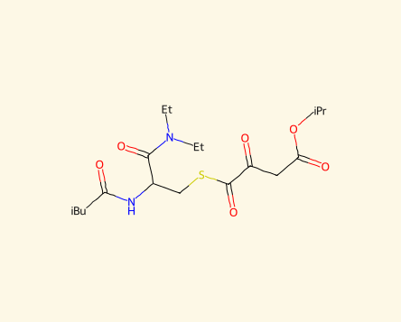 CCC(C)C(=O)NC(CSC(=O)C(=O)CC(=O)OC(C)C)C(=O)N(CC)CC